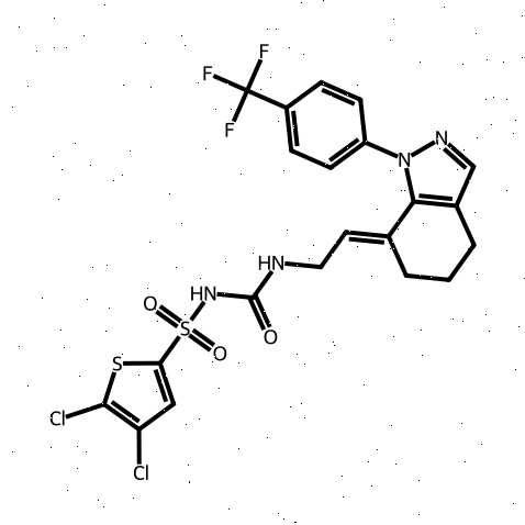 O=C(NCC=C1CCCc2cnn(-c3ccc(C(F)(F)F)cc3)c21)NS(=O)(=O)c1cc(Cl)c(Cl)s1